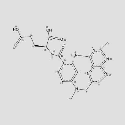 Cc1nc(N)c2nc(CN(C)c3ccc(C(=O)N[C@@H](CCC(=O)O)C(=O)O)cc3)cnc2n1